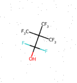 OC(F)(F)C(C(F)(F)F)(C(F)(F)F)C(F)(F)F